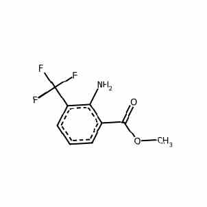 COC(=O)c1cccc(C(F)(F)F)c1N